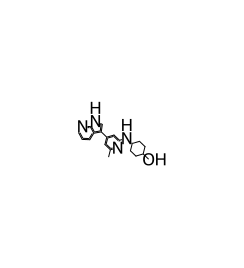 Cc1cc(-c2c[nH]c3ncccc23)cc(NC2CCC(O)CC2)n1